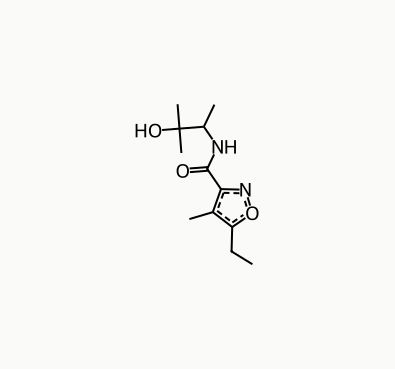 CCc1onc(C(=O)NC(C)C(C)(C)O)c1C